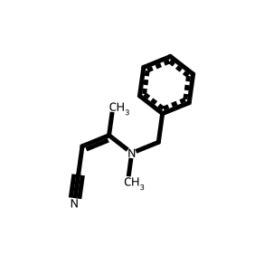 C/C(=C/C#N)N(C)Cc1ccccc1